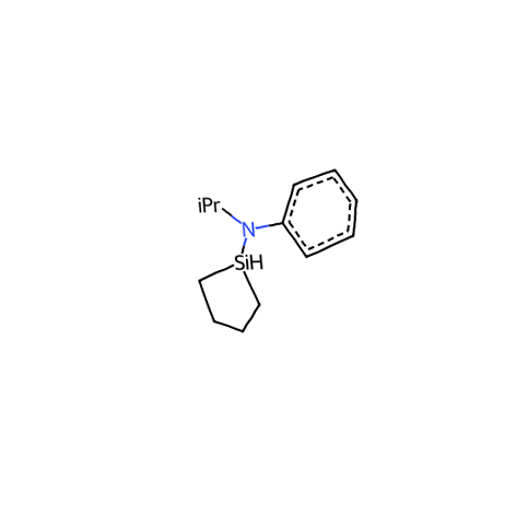 CC(C)N(c1ccccc1)[SiH]1CCCC1